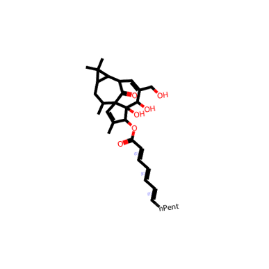 CCCCC/C=C/C=C/C=C/C(=O)OC1C(C)=CC23C(=O)C(C=C(CO)C(O)C12O)C1C(CC3C)C1(C)C